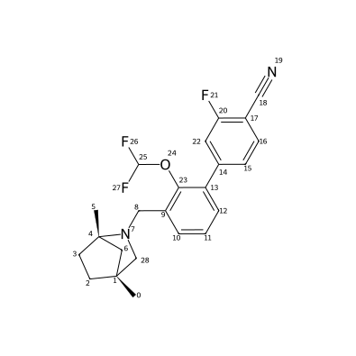 C[C@@]12CC[C@@](C)(C1)N(Cc1cccc(-c3ccc(C#N)c(F)c3)c1OC(F)F)C2